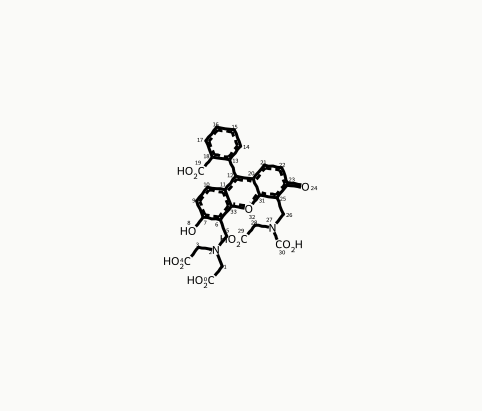 O=C(O)CN(CC(=O)O)Cc1c(O)ccc2c(-c3ccccc3C(=O)O)c3ccc(=O)c(CN(CC(=O)O)C(=O)O)c-3oc12